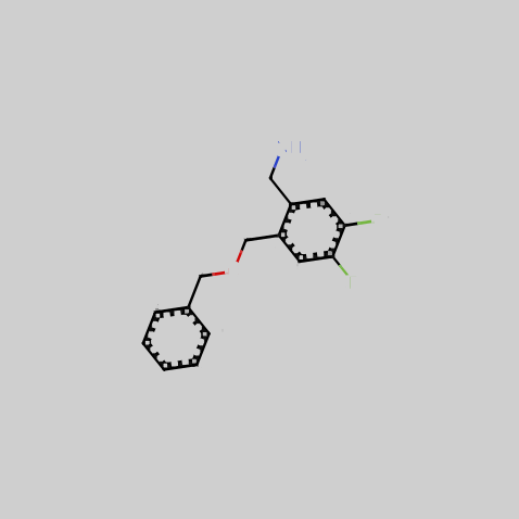 NCc1cc(F)c(F)cc1COCc1ccccc1